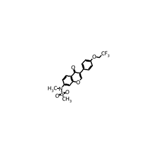 CN(c1ccc2c(=O)c(-c3ccc(OCC(F)(F)F)cc3)coc2c1)S(C)(=O)=O